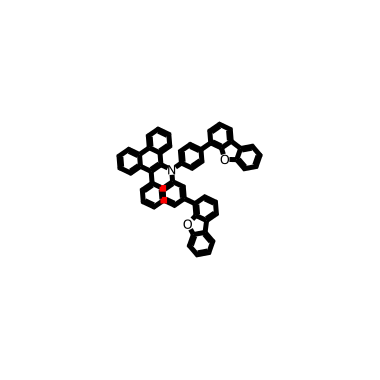 c1ccc(-c2c(N(c3ccc(-c4cccc5c4oc4ccccc45)cc3)c3cccc(-c4cccc5c4oc4ccccc45)c3)c3ccccc3c3ccccc23)cc1